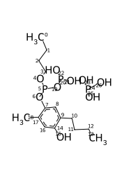 CCCCOP(Oc1cc(CCCC)c(O)cc1C)OP(O)O.OP(O)O